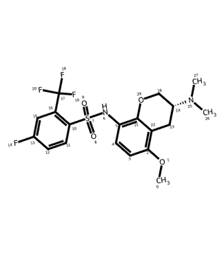 COc1ccc(NS(=O)(=O)c2ccc(F)cc2C(F)(F)F)c2c1C[C@@H](N(C)C)CO2